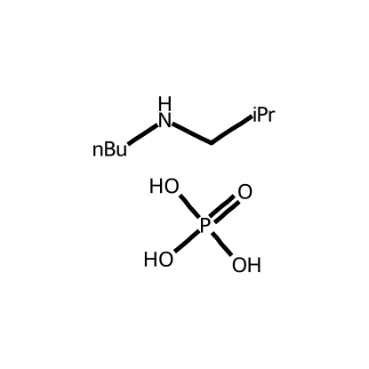 CCCCNCC(C)C.O=P(O)(O)O